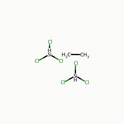 CC.Cl[SiH](Cl)Cl.Cl[SiH](Cl)Cl